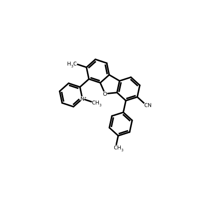 Cc1ccc(-c2c(C#N)ccc3c2oc2c(-c4cccc[n+]4C)c(C)ccc23)cc1